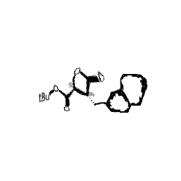 CC(C)(C)OC(=O)[C@H]1OC(=O)[C@@H]1Cc1ccc2ccccc2c1